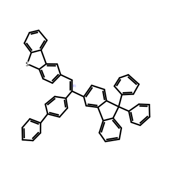 C(=C(/c1ccc(-c2ccccc2)cc1)c1ccc2c(c1)-c1ccccc1C2(c1ccccc1)c1ccccc1)/c1ccc2sc3ccccc3c2c1